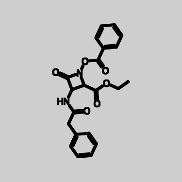 CCOC(=O)C1C(NC(=O)Cc2ccccc2)C(=O)N1OC(=O)c1ccccc1